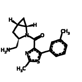 Cc1cccc(-c2sc(C)nc2C(=O)N2[C@H](CN)C[C@@H]3C[C@@H]32)c1